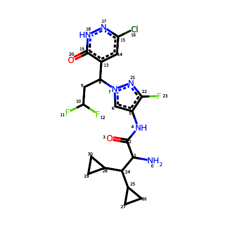 NC(C(=O)Nc1cn(C(CC(F)F)c2cc(Cl)n[nH]c2=O)nc1F)C(C1CC1)C1CC1